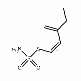 C=C(/C=C\SS(N)(=O)=O)CC